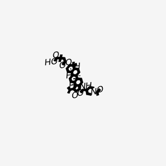 CC(=O)N1CCC(C(=O)N[C@@]23CC[C@]4(C)[C@H](CC[C@@H]5[C@@]6(C)CC[C@H](OC(=O)CC(C)(C)C(=O)O)C(C)(C)[C@@H]6CC[C@]54C)C2=C(C(C)C)C(=O)C3)CC1